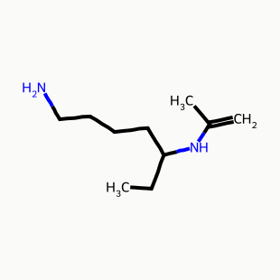 C=C(C)NC(CC)CCCCN